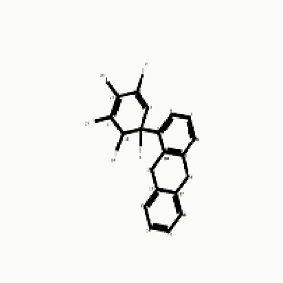 IC1=CC(I)(c2cccc3c2Cc2ccccc2C3)C(I)C(I)=C1I